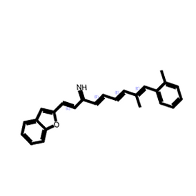 CC(/C=C/C=C/C(=N)/C=C/c1cc2ccccc2o1)=C\c1ccccc1C